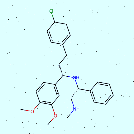 CNC[C@H](N[C@@H](CCC1=CCC(Cl)C=C1)c1ccc(OC)c(OC)c1)c1ccccc1